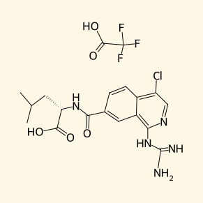 CC(C)C[C@H](NC(=O)c1ccc2c(Cl)cnc(NC(=N)N)c2c1)C(=O)O.O=C(O)C(F)(F)F